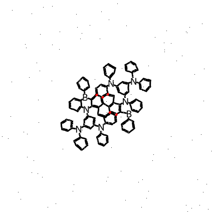 c1ccc(B2c3ccccc3N(c3cc(N(c4ccccc4)c4ccccc4)cc(N(c4ccccc4)c4ccccc4)c3)c3c2cc2ccc4c5c(cc6ccc3c2c64)B(c2ccccc2)c2ccccc2N5c2cc(N(c3ccccc3)c3ccccc3)cc(N(c3ccccc3)c3ccccc3)c2)cc1